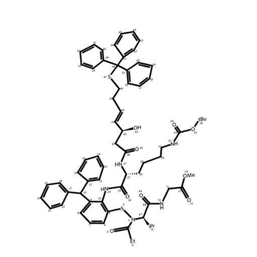 CCC(=O)N(Sc1cccc(C(c2ccccc2)c2ccccc2)c1NC(=O)[C@@H](CCCCNC(=O)OC(C)(C)C)NC(=O)C[C@H](O)C=CCCSC(c1ccccc1)(c1ccccc1)c1ccccc1)[C@@H](C(=O)NCC(=O)OC)C(C)C